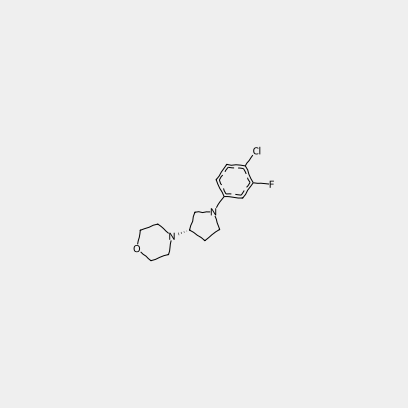 Fc1cc(N2CC[C@H](N3CCOCC3)C2)ccc1Cl